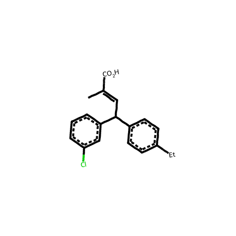 CCc1ccc(C(C=C(C)C(=O)O)c2cccc(Cl)c2)cc1